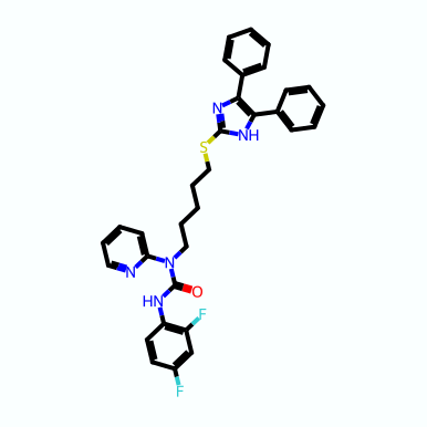 O=C(Nc1ccc(F)cc1F)N(CCCCCSc1nc(-c2ccccc2)c(-c2ccccc2)[nH]1)c1ccccn1